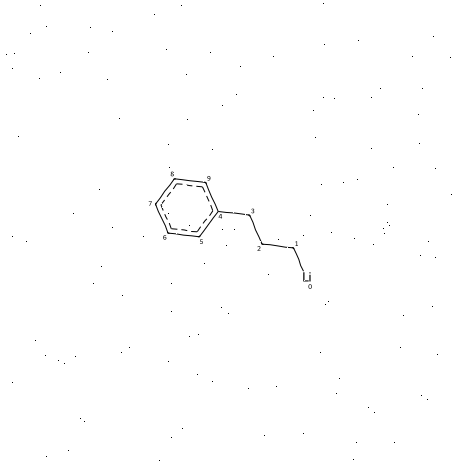 [Li][CH2]CCc1ccccc1